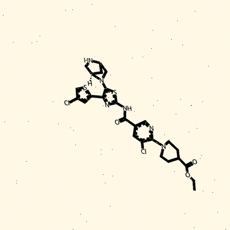 CCOC(=O)C1CCN(c2ncc(C(=O)Nc3nc(-c4cc(Cl)cs4)c(N4CC5C[C@@H]4CN5)s3)cc2Cl)CC1